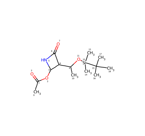 CC(=O)OC1NC(=O)C1C(C)O[Si](C)(C)C(C)(C)C